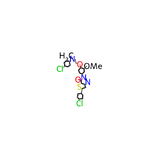 COc1cc(-n2cnc3cc(-c4ccc(Cl)cc4)sc3c2=O)ccc1OCCN(C)c1ccc(Cl)cc1